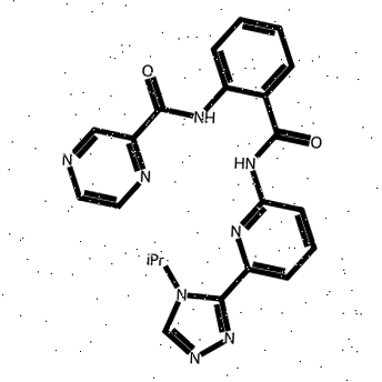 CC(C)n1cnnc1-c1cccc(NC(=O)c2ccccc2NC(=O)c2cnccn2)n1